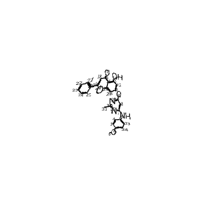 COc1ccc(Nc2cc(Oc3cc(O)c4c(=O)cc(-c5ccccc5)oc4c3)nc(C)n2)cc1